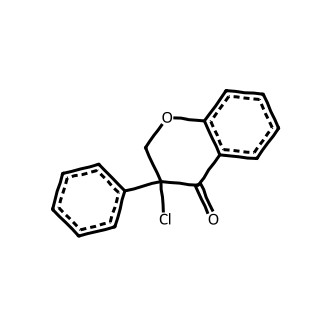 O=C1c2ccccc2OCC1(Cl)c1ccccc1